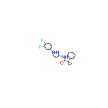 O=C(Nc1ccn(-c2ccc(F)c(F)c2)n1)C1(c2ccccc2)CC1